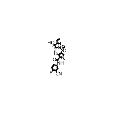 C=CC[C@](C)(O)[C@H]1COc2c(cn(C)c2C(=O)Nc2ccc(F)c(C#N)c2)S(=O)(=O)N1